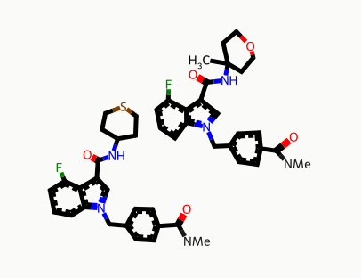 CNC(=O)c1ccc(Cn2cc(C(=O)NC3(C)CCOCC3)c3c(F)cccc32)cc1.CNC(=O)c1ccc(Cn2cc(C(=O)NC3CCSCC3)c3c(F)cccc32)cc1